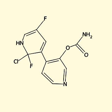 NC(=O)Oc1cnccc1C1=CC(F)=CNC1(F)Cl